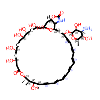 C[C@@H]1[C@H](O)[C@@H](C)/C=C/C=C/C=C/C=C/C=C/C=C/C=C/[C@H](O[C@@H]2O[C@H](C)[C@@H](O)[C@H](N)[C@@H]2O)C[C@@H]2O[C@](O)(C[C@@H](O)C[C@@H](O)[C@H](O)CC[C@@H](O)C[C@@H](O)CC(=O)O[C@H]1C)C[C@@H]1OC(=O)NC12